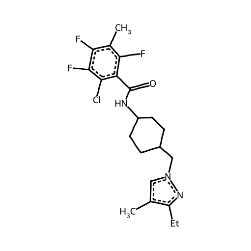 CCc1nn(CC2CCC(NC(=O)c3c(F)c(C)c(F)c(F)c3Cl)CC2)cc1C